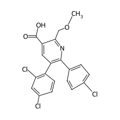 COCc1nc(-c2ccc(Cl)cc2)c(-c2ccc(Cl)cc2Cl)cc1C(=O)O